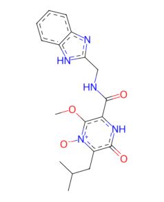 COc1c(C(=O)NCc2nc3ccccc3[nH]2)[nH]c(=O)c(CC(C)C)[n+]1[O-]